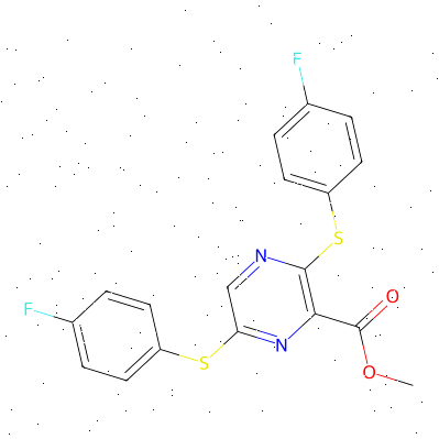 COC(=O)c1nc(Sc2ccc(F)cc2)cnc1Sc1ccc(F)cc1